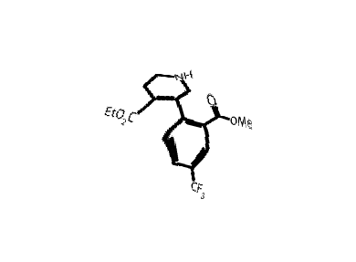 CCOC(=O)C1=C(c2ccc(C(F)(F)F)cc2C(=O)OC)CNCC1